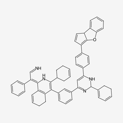 N=C/C(=C1\NC(C2CC=CCC2)=C(c2cccc(C3=NC(C4=CC=CCC4)NC(c4ccc(C5=C6Oc7ccccc7C6C=C5)cc4)=C3)c2)C2=C1C=CCC2)c1ccccc1